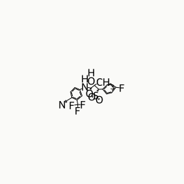 CC(O)(C(=O)Nc1ccc(C#N)c(C(F)(F)F)c1)C(c1ccc(F)cc1)=S(=O)=O